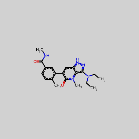 CCN(CC)c1n[nH]c2cc(-c3cc(C(=O)NC)ccc3C)c(=O)n(C)c12